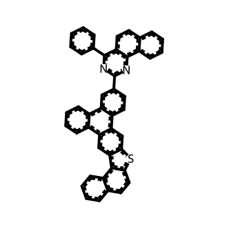 c1ccc(-c2nc(-c3ccc4c(c3)c3ccccc3c3cc5c(cc43)sc3ccc4ccccc4c35)nc3c2ccc2ccccc23)cc1